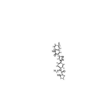 CN(C(=O)C1CCCN1)c1ccc(-n2cc(-c3cc4cc(F)ccc4[nH]c3=O)nn2)cc1